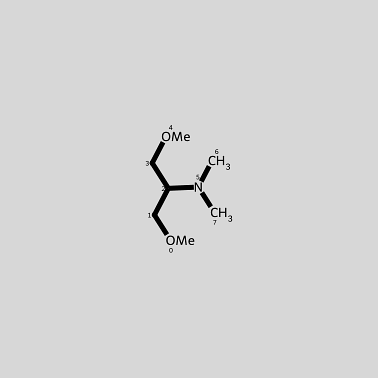 COCC(COC)N(C)C